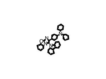 c1ccc(N(c2ccccc2)c2ccc(-c3nc4oc5ccccc5n4c3-n3c4ccccc4c4ccccc43)cc2)cc1